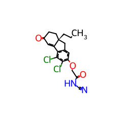 CCC[C@]12CCC(=O)C=C1c1c(cc(OCC(=O)NC#N)c(Cl)c1Cl)C2